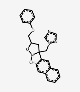 CN1OC(COc2ccccc2)CC1(Cn1cncn1)c1ccc2ccccc2c1